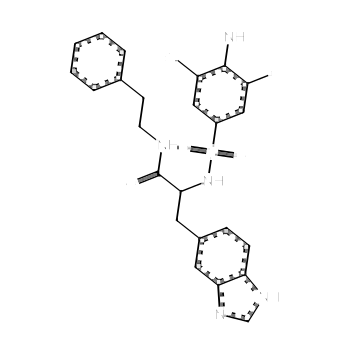 Nc1c(Cl)cc(S(=O)(=O)NC(Cc2ccc3[nH]cnc3c2)C(=O)NCCc2ccccc2)cc1Cl